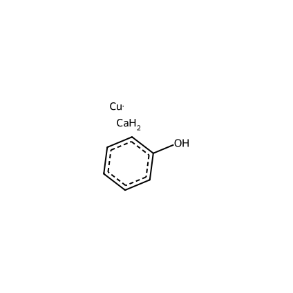 Oc1ccccc1.[CaH2].[Cu]